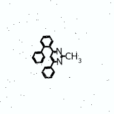 Cc1nc(-c2ccccc2)cc(-c2ccccc2-c2ccccc2)n1